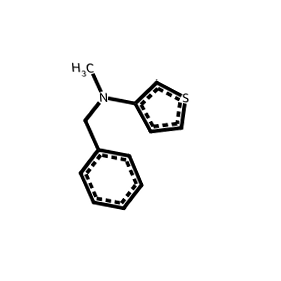 CN(Cc1ccccc1)c1[c]scc1